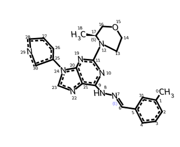 Cc1cccc(/C=N/Nc2nc(N3CCOC[C@@H]3C)nc3c2ncn3-c2cccnc2)c1